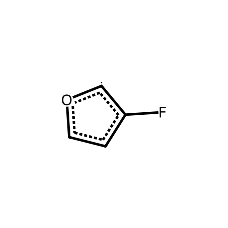 Fc1[c]occ1